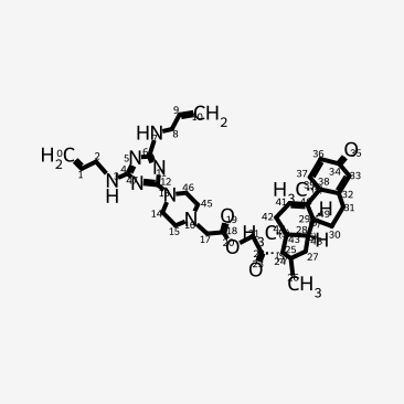 C=CCNc1nc(NCC=C)nc(N2CCN(CC(=O)OCC(=O)[C@H]3C(C)C[C@H]4[C@@H]5CCC6=CC(=O)C=C[C@]6(C)C5=CC[C@]34C)CC2)n1